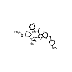 COC1CCN(Cc2cnc3c(C(=O)Nc4cnccc4N4C[C@@H](NC(=O)O)C[C@@H](C(F)(F)F)C4)c(NC(=O)OC(C)(C)C)oc3c2)CC1